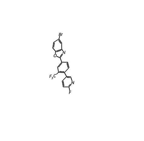 Fc1ccc(-c2ccc(-c3nc4cc(Br)ccc4o3)cc2C(F)(F)F)cn1